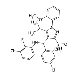 COc1ccccc1-n1nc(C(=O)O)c(C(Nc2cccc(Cl)c2F)c2ccc(Cl)cc2C)c1C(C)C